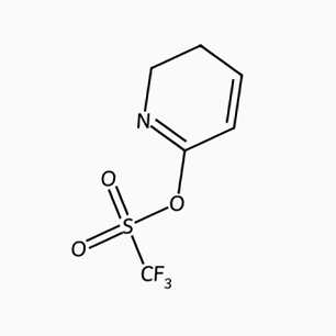 O=S(=O)(OC1=NCCC=C1)C(F)(F)F